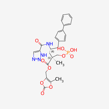 Cc1oc(=O)oc1COC(=O)[C@](C)(COP(=O)(O)O)C[C@@H](Cc1ccc(-c2ccccc2)cc1)NC(=O)c1cnn[nH]1